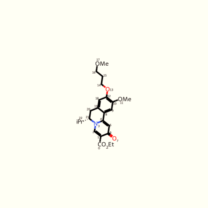 CCOC(=O)c1cn2c(cc1=O)-c1cc(OC)c(OCCCOC)cc1C[C@H]2C(C)C